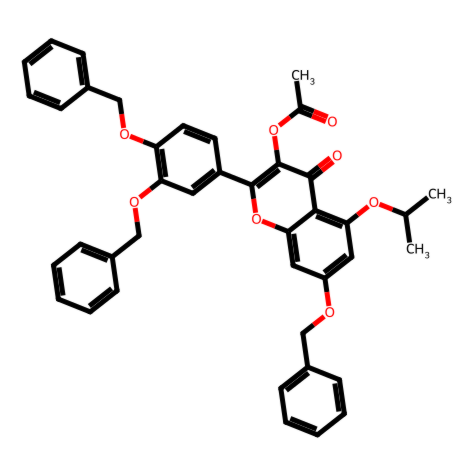 CC(=O)Oc1c(-c2ccc(OCc3ccccc3)c(OCc3ccccc3)c2)oc2cc(OCc3ccccc3)cc(OC(C)C)c2c1=O